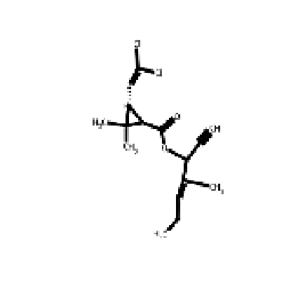 C#CC(OC(=O)C1[C@@H](C=C(Cl)Cl)C1(C)C)C(C)=CCC